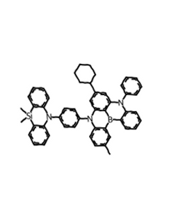 Cc1ccc2c(c1)B1c3ccccc3N(c3ccccc3)c3cc(C4CCCCC4)cc(c31)N2c1ccc(N2c3ccccc3[Si](C)(C)c3ccccc32)cc1